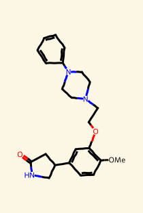 COc1ccc(C2CNC(=O)C2)cc1OCCN1CCN(c2ccccc2)CC1